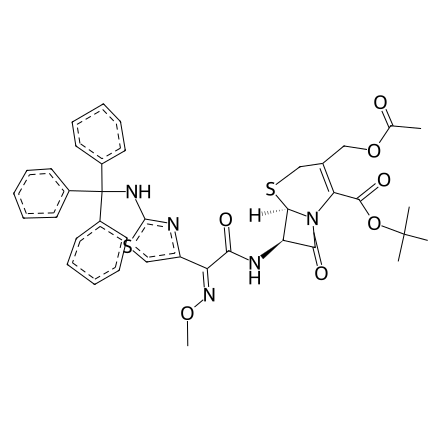 CON=C(C(=O)N[C@@H]1C(=O)N2C(C(=O)OC(C)(C)C)=C(COC(C)=O)CS[C@H]12)c1csc(NC(c2ccccc2)(c2ccccc2)c2ccccc2)n1